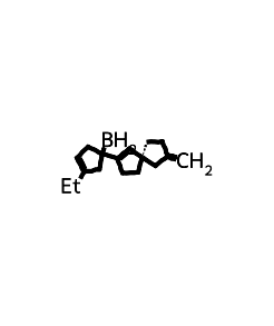 BC1(C2=C[C@]3(CCC(=C)C3)CC2)CC=C(CC)C1